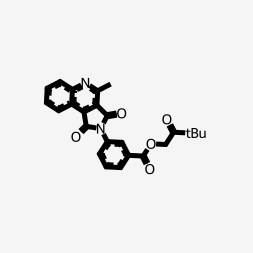 Cc1nc2ccccc2c2c1C(=O)N(c1cccc(C(=O)OCC(=O)C(C)(C)C)c1)C2=O